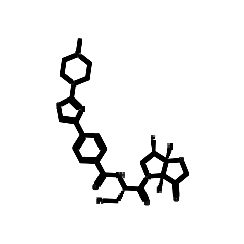 CC(C)C[C@H](NC(=O)c1ccc(-c2csc(N3CCN(C)CC3)n2)cc1)C(=O)N1C[C@@H](F)[C@H]2OCC(=O)[C@H]21